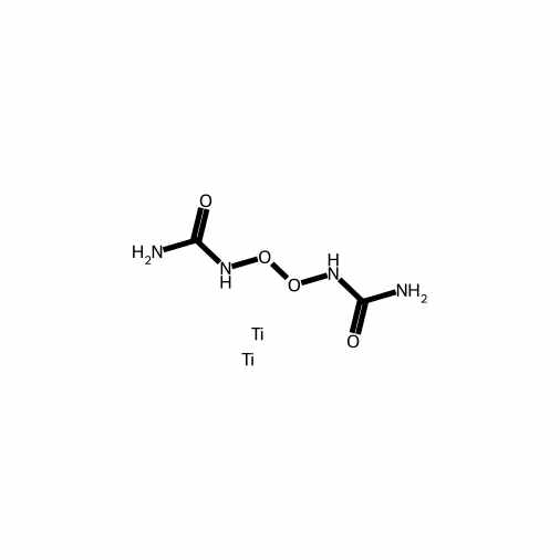 NC(=O)NOONC(N)=O.[Ti].[Ti]